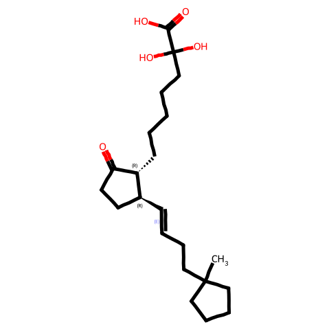 CC1(CC/C=C/[C@H]2CCC(=O)[C@@H]2CCCCCC(O)(O)C(=O)O)CCCC1